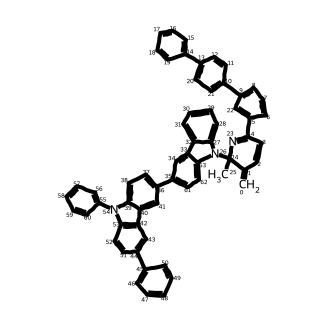 C=C1C=CC(c2cccc(-c3ccc(-c4ccccc4)cc3)c2)=NC1(C)n1c2ccccc2c2cc(-c3ccc4c(c3)c3cc(-c5ccccc5)ccc3n4-c3ccccc3)ccc21